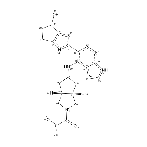 C[C@H](O)C(=O)N1C[C@H]2CC(Nc3c(-c4nc5c(s4)C(O)CC5)cnc4[nH]ccc34)C[C@H]2C1